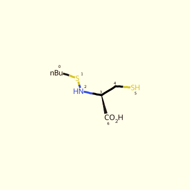 CCCCSN[C@@H](CS)C(=O)O